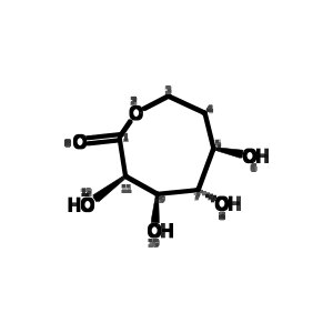 O=C1OCC[C@@H](O)[C@H](O)[C@@H](O)[C@H]1O